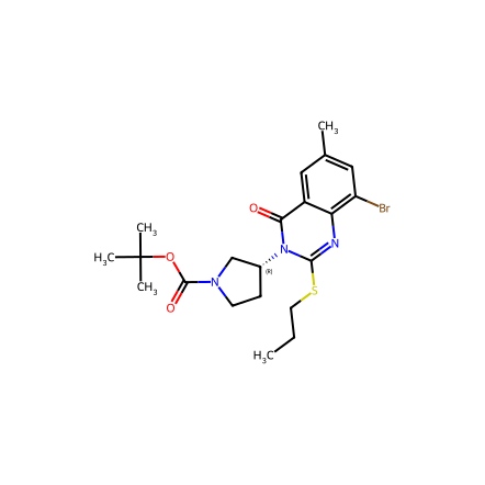 CCCSc1nc2c(Br)cc(C)cc2c(=O)n1[C@@H]1CCN(C(=O)OC(C)(C)C)C1